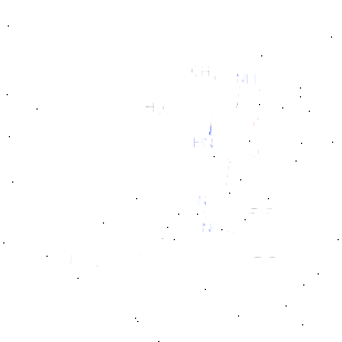 CC(C)[C@H](NC(=O)c1nn(CCCCCCl)c2ccccc12)C(N)=O